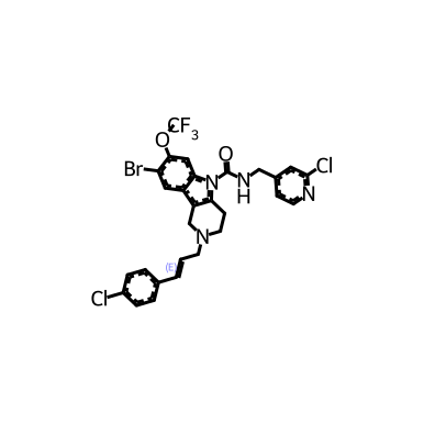 O=C(NCc1ccnc(Cl)c1)n1c2c(c3cc(Br)c(OC(F)(F)F)cc31)CN(C/C=C/c1ccc(Cl)cc1)CC2